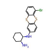 N[C@H]1CCCC[C@H]1Nc1ccc2c(c1)Sc1cccc(Br)c1S2